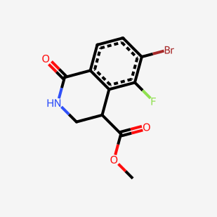 COC(=O)C1CNC(=O)c2ccc(Br)c(F)c21